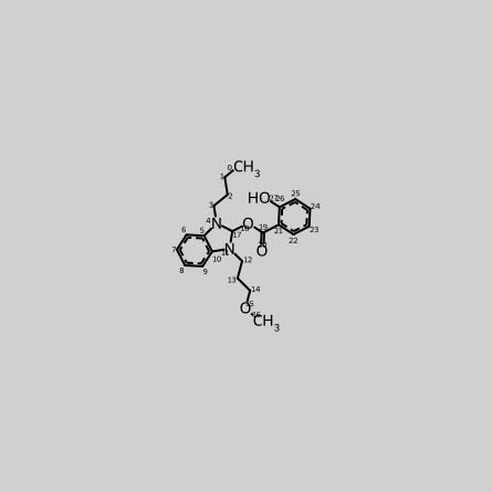 CCCCN1c2ccccc2N(CCCOC)C1OC(=O)c1ccccc1O